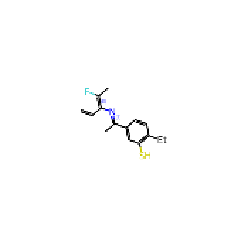 C=CC(/N=C(\C)c1ccc(CC)c(S)c1)=C(/C)F